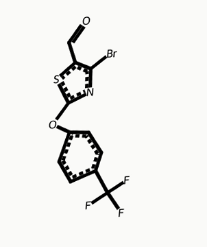 O=Cc1sc(Oc2ccc(C(F)(F)F)cc2)nc1Br